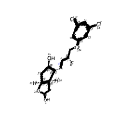 OC1C[C@@H]2[C@@H](/C=C/[C@@H](F)COc3cc(Cl)cc(Cl)c3)[C@H](O)C[C@@H]2O1